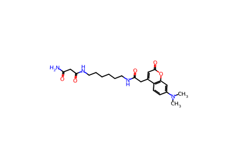 CN(C)c1ccc2c(CC(=O)NCCCCCCNC(=O)CC(N)=O)cc(=O)oc2c1